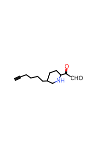 C#CCCCCC1CCC(C(=O)C=O)NC1